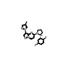 Cc1cnn(-c2cnn3ccc(N4CCC[C@@H]4c4cc(F)ccc4F)nc23)c1